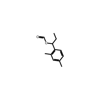 CCC(O[C]=O)c1ccc(C)cc1C